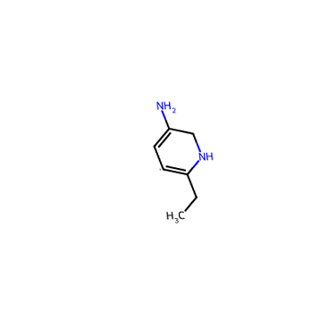 CCC1=[C]C=C(N)CN1